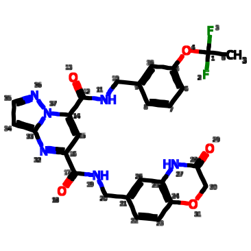 CC(F)(F)Oc1cccc(CNC(=O)c2cc(C(=O)NCc3ccc4c(c3)NC(=O)CO4)nc3ccnn23)c1